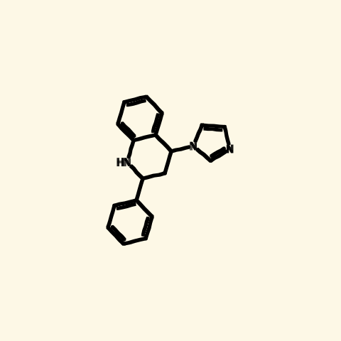 c1ccc(C2CC(n3ccnc3)c3ccccc3N2)cc1